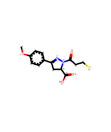 COc1ccc(C2=NN(C(=O)CCS)C(C(=O)O)C2)cc1